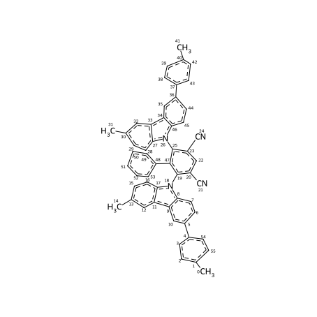 Cc1ccc(-c2ccc3c(c2)c2cc(C)ccc2n3-c2c(C#N)cc(C#N)c(-n3c4ccc(C)cc4c4cc(-c5ccc(C)cc5)ccc43)c2-c2ccccc2)cc1